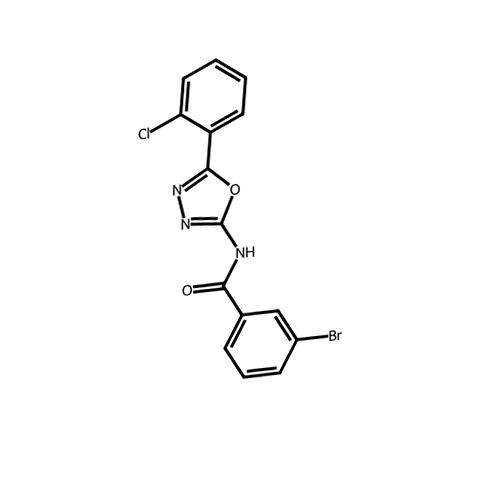 O=C(Nc1nnc(-c2ccccc2Cl)o1)c1cccc(Br)c1